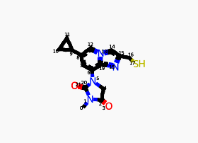 CN1C(=O)CN(c2cc(C3CC3)cn3cc(CS)nc23)C1=O